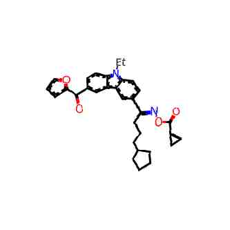 CCn1c2ccc(C(=O)c3ccco3)cc2c2cc(/C(CCCC3CCCC3)=N/OC(=O)C3CC3)ccc21